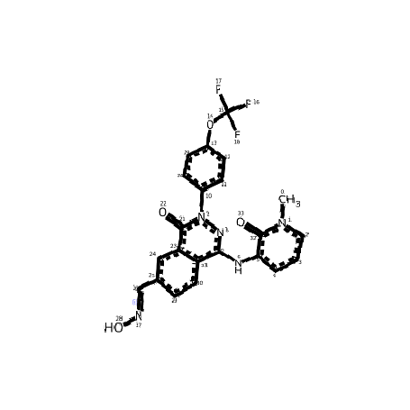 Cn1cccc(Nc2nn(-c3ccc(OC(F)(F)F)cc3)c(=O)c3cc(/C=N/O)ccc23)c1=O